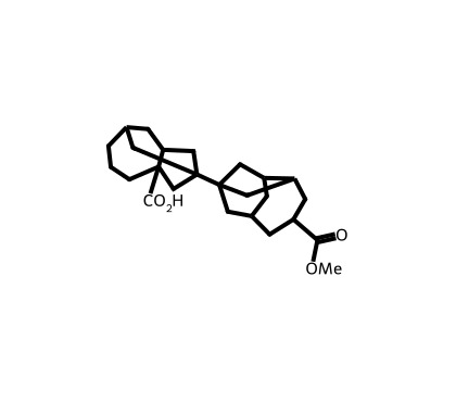 COC(=O)C1CC2CC3CC(C45CC6CCCC(C(=O)O)(C4)C(C6)C5)(C2)CC3C1